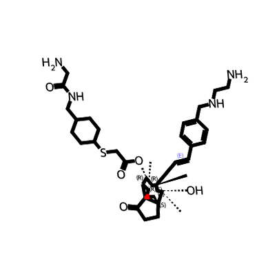 C[C@@H]1CC[C@@]23CCC(=O)C2C1[C@H](OC(=O)CSC1CCC(CNC(=O)CN)CC1)C[C@](C)(/C=C/c1ccc(CNCCN)cc1)[C@@H](O)[C@@H]3C